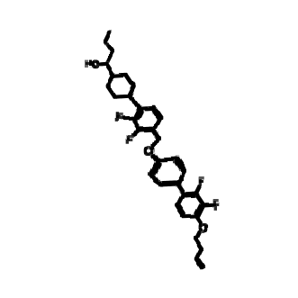 C=CCCOc1ccc(-c2ccc(OCc3ccc(C4CCC(C(O)CCC)CC4)c(F)c3F)cc2)c(F)c1F